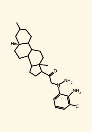 CC1CCC2C3CCC4(C)C(C(=O)CN(N)c5cccc(Cl)c5N)CCC4C3CC[C@@H]2C1